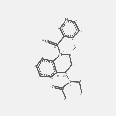 CCN(C(C)=O)[C@H]1C[C@@H](C)N(C(=O)c2cccnc2)c2ccccc21